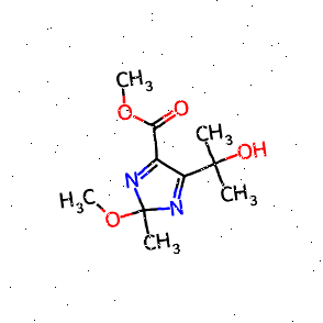 COC(=O)C1=NC(C)(OC)N=C1C(C)(C)O